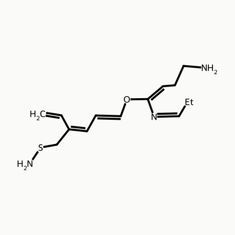 C=C/C(=C\C=C\OC(=C/CCN)/N=C\CC)CSN